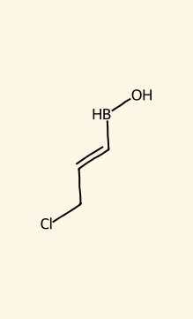 OB/C=C/CCl